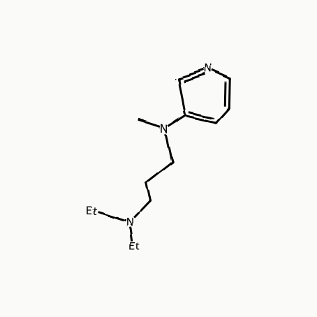 CCN(CC)CCCN(C)c1[c]nccc1